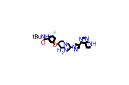 CC(C)(C)NC(=O)c1cc(F)cc(OC2CCN(CC(CN)n3cc(-c4ncnc5[nH]ccc45)cn3)CC2)c1